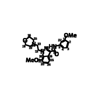 COc1cccc(NC(=O)c2nn(CCN3CCOCC3)c3c(OC)cccc23)c1